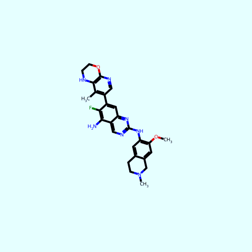 COc1cc2c(cc1Nc1ncc3c(N)c(F)c(-c4cnc5c(c4C)NCCO5)cc3n1)CCN(C)C2